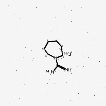 Cl.N=C(N)N1CCCCCC1